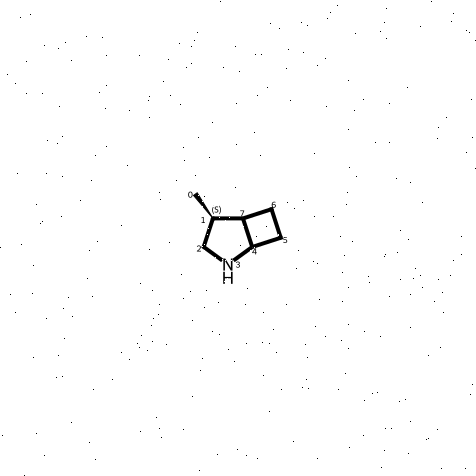 C[C@@H]1CNC2CCC21